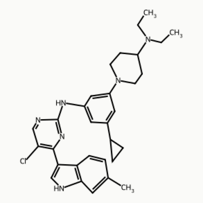 CCN(CC)C1CCN(c2cc(Nc3ncc(Cl)c(-c4c[nH]c5cc(C)ccc45)n3)cc(C3CC3)c2)CC1